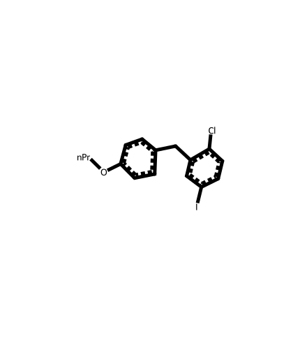 CCCOc1ccc(Cc2cc(I)ccc2Cl)cc1